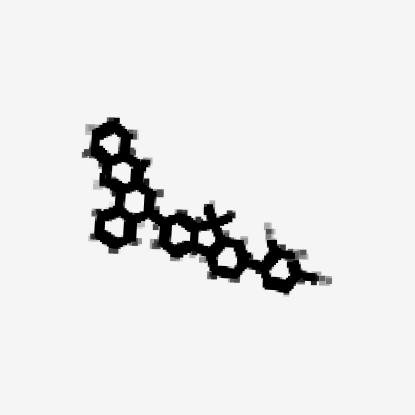 CC1(C)c2cc(-c3ccc(F)nc3F)ccc2-c2ccc(-c3cc4nc5ccccc5nc4c4ccccc34)cc21